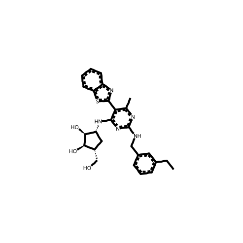 CCc1cccc(CNc2nc(C)c(-c3nc4ccccc4s3)c(N[C@@H]3C[C@H](CO)[C@@H](O)[C@H]3O)n2)c1